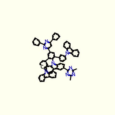 Cc1nc(C)nc(-c2ccc3c(c2)c2ccccc2n3-c2c(-c3cccc(-n4c5ccccc5c5ccccc54)c3)cc(-c3cc(-c4ccccc4)nc(-c4ccccc4)n3)cc2-c2cccc(-n3c4ccccc4c4ccccc43)c2)n1